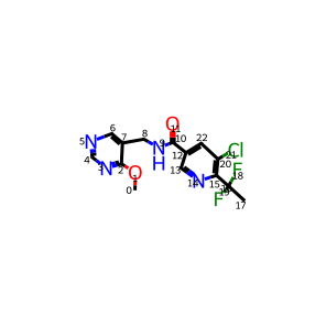 COc1ncncc1CNC(=O)c1cnc(C(C)(F)F)c(Cl)c1